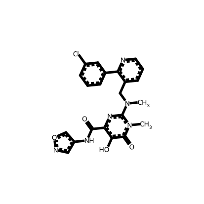 CN(Cc1cccnc1-c1cccc(Cl)c1)c1nc(C(=O)Nc2cnoc2)c(O)c(=O)n1C